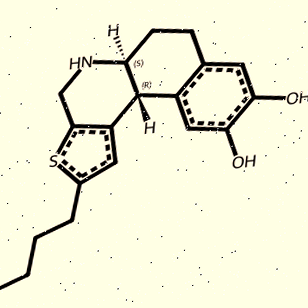 CCCCc1cc2c(s1)CN[C@H]1CCc3cc(O)c(O)cc3[C@H]21